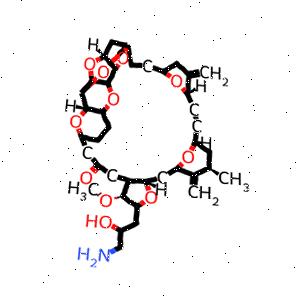 C=C1C2C[C@@H]3OC(CC(O)CN)[C@H](OC)C3CC(=O)CC3CCC4OC5C6O[C@@H]7CC(CCC8CC(=C)[C@H](CC[C@@H](C[C@H]1C)O2)O8)(OC6[C@H]4O3)OC57